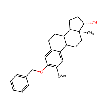 COc1cc2c(cc1OCc1ccccc1)CCC1C2CC[C@@]2(C)C1CC[C@@H]2O